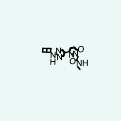 CCNC(=O)Cn1nc(-c2cnc(NC3CC4CCC43)nc2)ccc1=O